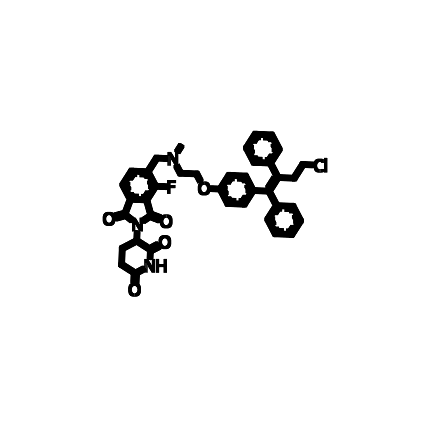 CN(CCOc1ccc(C(=C(CCCl)c2ccccc2)c2ccccc2)cc1)Cc1ccc2c(c1F)C(=O)N(C1CCC(=O)NC1=O)C2=O